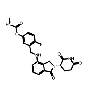 CNC(=O)Oc1ccc(F)c(CNc2cccc3c2CN([C@H]2CCC(=O)NC2=O)C3=O)c1